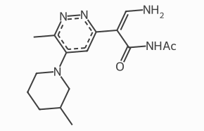 CC(=O)NC(=O)/C(=C\N)c1cc(N2CCCC(C)C2)c(C)nn1